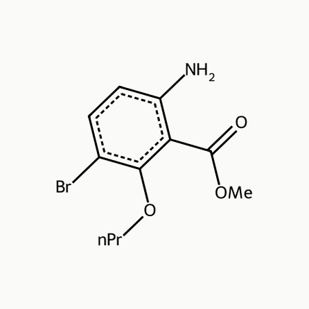 CCCOc1c(Br)ccc(N)c1C(=O)OC